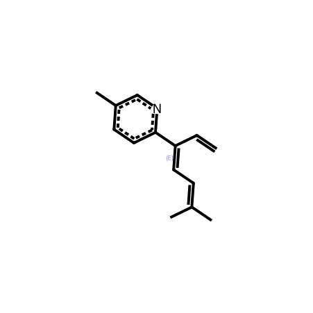 C=C/C(=C\C=C(C)C)c1ccc(C)cn1